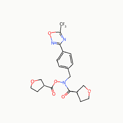 O=C(ON(Cc1ccc(-c2noc(C(F)(F)F)n2)cc1)C(=O)C1CCOC1)C1CCOC1